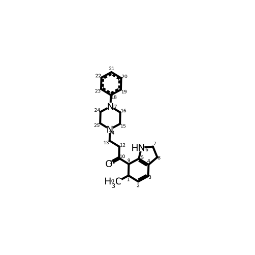 CC1C=CC2=C(NCC2)C1C(=O)CCN1CCN(c2ccccc2)CC1